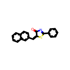 O=C1N=C(c2ccccc2)S/C1=C/c1ccc2ccccc2c1